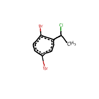 CC(Cl)c1cc(Br)ccc1Br